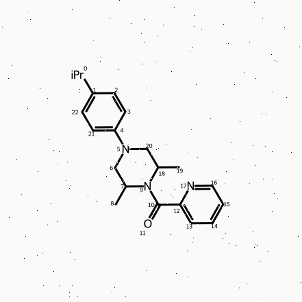 CC(C)c1ccc(N2CC(C)N(C(=O)c3ccccn3)C(C)C2)cc1